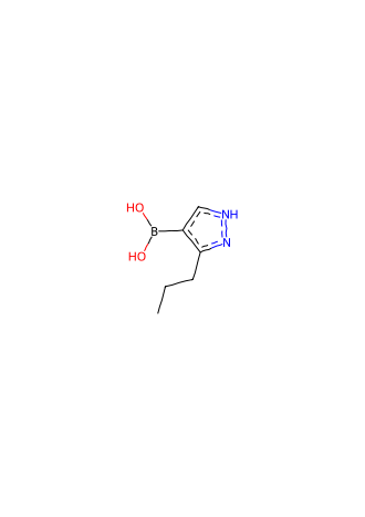 CCCc1n[nH]cc1B(O)O